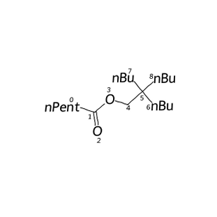 CCCCCC(=O)OCC(CCCC)(CCCC)CCCC